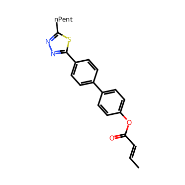 CC=CC(=O)Oc1ccc(-c2ccc(-c3nnc(CCCCC)s3)cc2)cc1